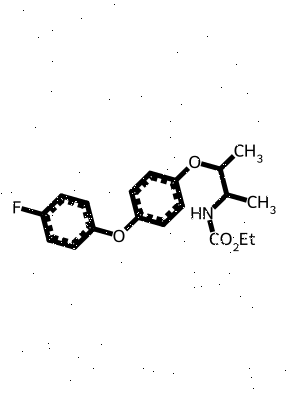 CCOC(=O)NC(C)C(C)Oc1ccc(Oc2ccc(F)cc2)cc1